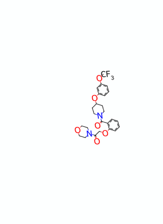 O=C(COc1ccccc1C(=O)N1CCC(Oc2cccc(OC(F)(F)F)c2)CC1)N1CCOCC1